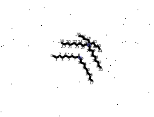 [CH2]CCCCCCC/C=C\CCCCCCCC.[CH2]CCCCCCC/C=C\CCCCCCCC.[CH2]CCCCCCCC